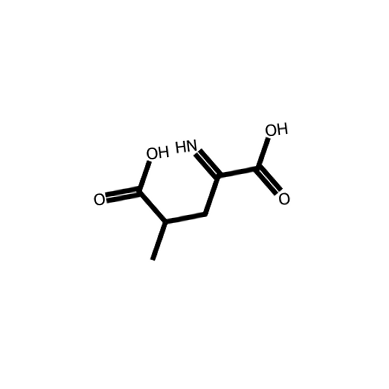 CC(CC(=N)C(=O)O)C(=O)O